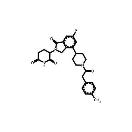 Cc1ccc(CC(=O)N2CCC(c3cc(F)cc4c3CN(C3CCC(=O)NC3=O)C4=O)CC2)cc1